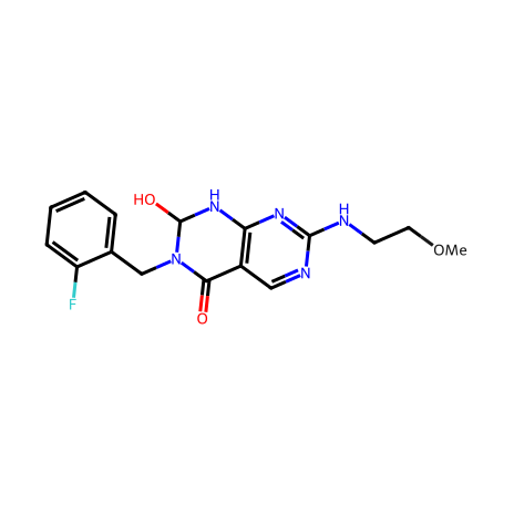 COCCNc1ncc2c(n1)NC(O)N(Cc1ccccc1F)C2=O